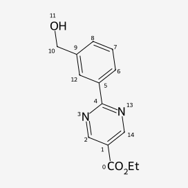 CCOC(=O)c1cnc(-c2cccc(CO)c2)nc1